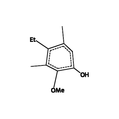 CCc1c(C)cc(O)c(OC)c1C